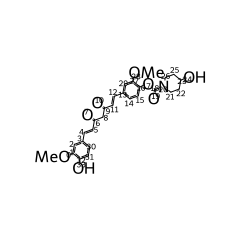 COc1cc(C=CC(=O)CC(=O)C=Cc2ccc(OC(=O)N3CCC(O)CC3)c(OC)c2)ccc1O